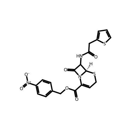 O=C(Cc1cccs1)NC1C(=O)N2C(C(=O)OCc3ccc([N+](=O)[O-])cc3)=CCS[C@H]12